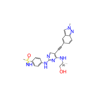 C[C@H](CO)Nc1nc(Nc2ccc(S(C)(=N)=O)cc2)ncc1C#Cc1ccc2nn(C)cc2c1